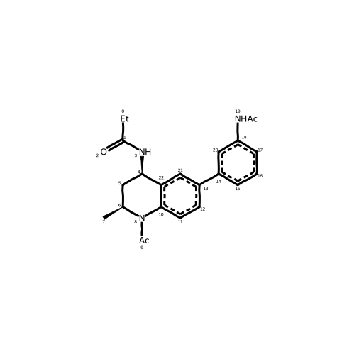 CCC(=O)N[C@@H]1C[C@H](C)N(C(C)=O)c2ccc(-c3cccc(NC(C)=O)c3)cc21